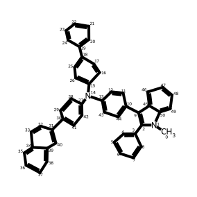 Cn1c(-c2ccccc2)c(-c2ccc(N(c3ccc(-c4ccccc4)cc3)c3ccc(-c4ccc5ccccc5c4)cc3)cc2)c2ccccc21